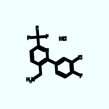 Cl.NCc1ccc(C(F)(F)F)nc1-c1ccc(F)c(Cl)c1